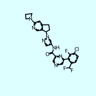 O=C(Nc1cnn(C2CCc3cc(N4CCC4)ncc32)c1)c1cncc(-c2c(C(F)F)ccc(Cl)c2F)n1